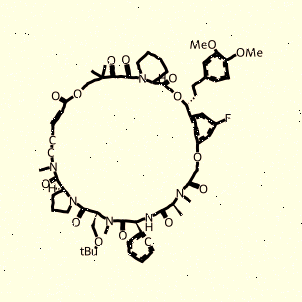 COc1ccc(CC[C@H]2OC(=O)[C@@H]3CCCCN3C(=O)C(=O)C(C)(C)COC(=O)/C=C/CCN(C)C(=O)[C@@H]3CCCN3C(=O)[C@H](COC(C)(C)C)N(C)C(=O)[C@H](c3ccccc3)NC(=O)[C@H](C)N(C)C(=O)COc3cc(F)cc2c3)cc1OC